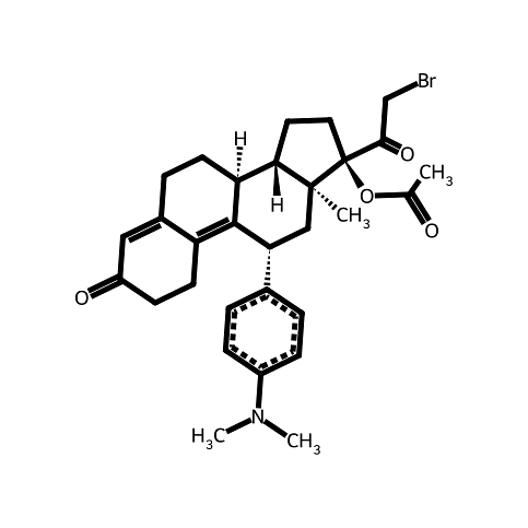 CC(=O)O[C@]1(C(=O)CBr)CC[C@H]2[C@@H]3CCC4=CC(=O)CCC4=C3[C@@H](c3ccc(N(C)C)cc3)C[C@@]21C